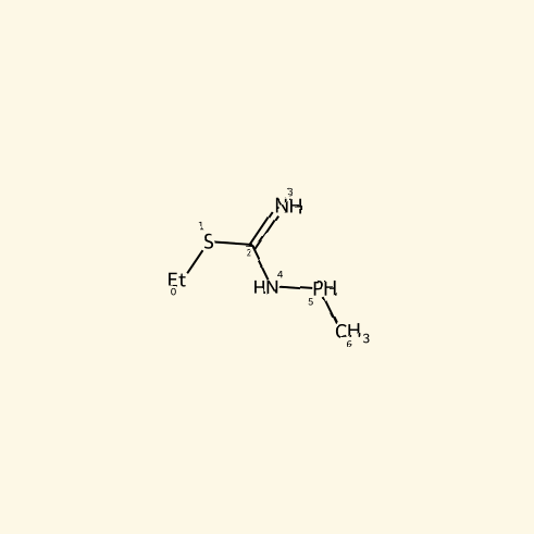 CCSC(=N)NPC